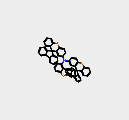 C1=C2Sc3ccccc3C3(C2=CC(N(c2ccc4c(c2)C2(c5ccccc5S4)c4ccccc4-c4ccccc42)c2cccc4sc5ccccc5c24)C1)c1ccccc1-c1ccccc13